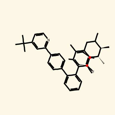 Cc1c(C)c(-c2ccccc2-c2ccc(-c3cc(C(C)(C)C)ccn3)cc2)c(C)c(C)c1CC(C)[C@@H](C)[C@H](C)[C@H](C)[C@@H](C)F